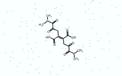 CN(C)C(=O)C(=O)C/C(C(=O)O)=C(/CC(=O)C(=O)N(C)C)C(=O)O